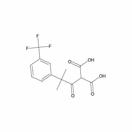 CC(C)(C(=O)C(C(=O)O)C(=O)O)c1cccc(C(F)(F)F)c1